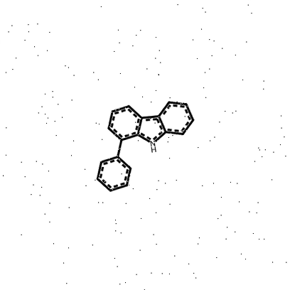 [c]1cccc(-c2cccc3c2[nH]c2ccccc23)c1